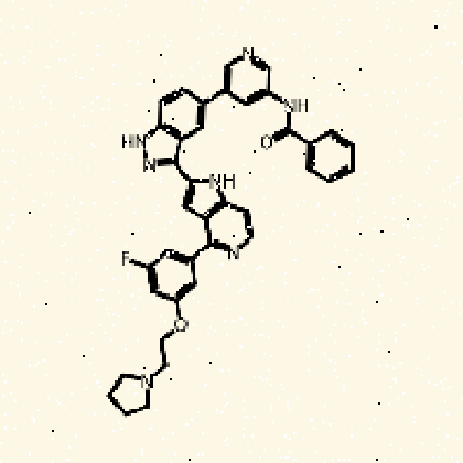 O=C(Nc1cncc(-c2ccc3[nH]nc(-c4cc5c(-c6cc(F)cc(OCCN7CCCC7)c6)nccc5[nH]4)c3c2)c1)c1ccccc1